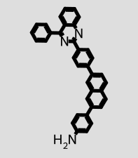 Nc1ccc(-c2ccc3ccc(-c4ccc(-c5nc(-c6ccccc6)c6ccccc6n5)cc4)cc3c2)cc1